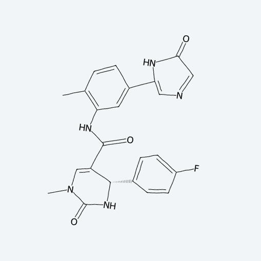 Cc1ccc(-c2cncc(=O)[nH]2)cc1NC(=O)C1=CN(C)C(=O)N[C@H]1c1ccc(F)cc1